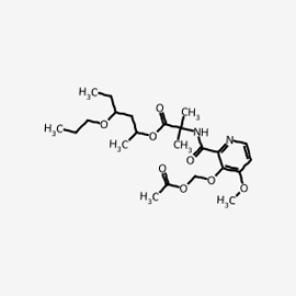 CCCOC(CC)CC(C)OC(=O)C(C)(C)NC(=O)c1nccc(OC)c1OCOC(C)=O